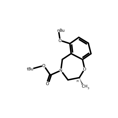 CCCCOc1cccc2c1CN(C(=O)OC(C)(C)C)C[C@@H](C)O2